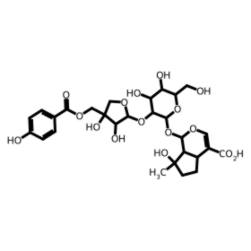 CC1(O)CCC2C(C(=O)O)=COC(OC3OC(CO)C(O)C(O)C3OC3OCC(O)(COC(=O)c4ccc(O)cc4)C3O)C21